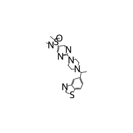 CN=S(C)(=O)c1cnc(N2CCN(C(C)c3ccc4scnc4c3)CC2)nc1